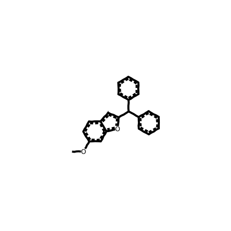 COc1ccc2[c]c(C(c3ccccc3)c3ccccc3)oc2c1